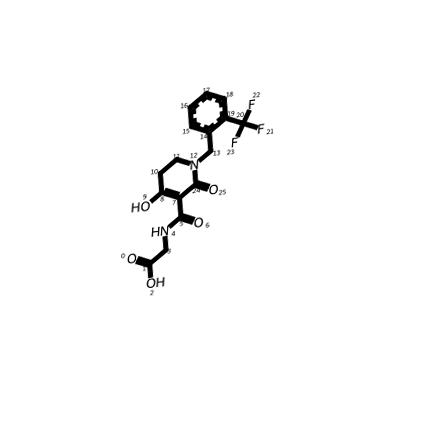 O=C(O)CNC(=O)C1=C(O)CCN(Cc2ccccc2C(F)(F)F)C1=O